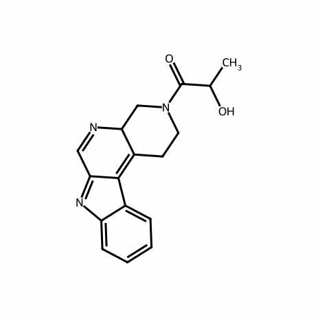 CC(O)C(=O)N1CCC2=C3C(=Nc4ccccc43)C=NC2C1